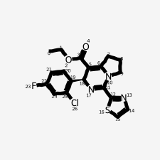 CCOC(=O)C1=C2CCCN2C(c2nccs2)=N[C@H]1c1ccc(F)cc1Cl